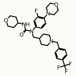 O=C(NC1CCOCC1)N(CC1CCN(Cc2ccc(C(F)(F)F)cc2)CC1)c1ccc(N2CCOCC2)c(F)c1